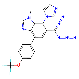 Cn1cnc2c(-c3ccc(OC(F)(F)F)cc3)cc(C(N=[N+]=[N-])=[N+]=[N-])c(-n3ccnc3)c21